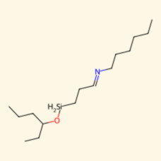 CCCCCCN=CCC[SiH2]OC(CC)CCC